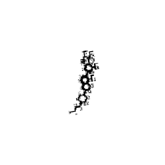 CCCCC1CCC(c2ccc3c(F)c(-c4cc(F)c(OC(F)(F)F)c(F)c4)ccc3c2)CC1